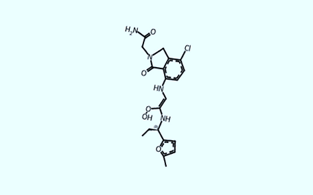 CC[C@@H](NC(=CNc1ccc(Cl)c2c1C(=O)N(CC(N)=O)C2)OO)c1ccc(C)o1